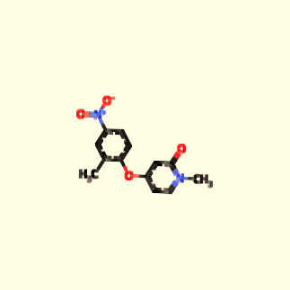 Cc1cc([N+](=O)[O-])ccc1Oc1ccn(C)c(=O)c1